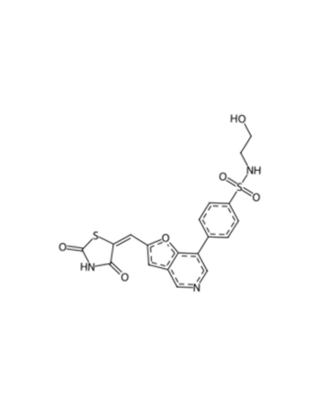 O=C1NC(=O)/C(=C\c2cc3cncc(-c4ccc(S(=O)(=O)NCCO)cc4)c3o2)S1